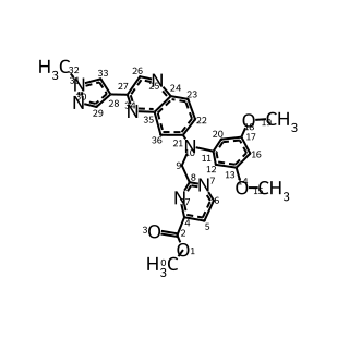 COC(=O)c1ccnc(CN(c2cc(OC)cc(OC)c2)c2ccc3ncc(-c4cnn(C)c4)nc3c2)n1